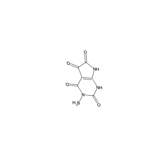 Bn1c(=O)[nH]c2c(c1=O)C(=O)C(=O)N2